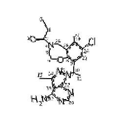 CCC(=O)N1CCOc2c(C(C)n3nc(C)c4c(N)ncnc43)cc(Cl)c(C)c2C1